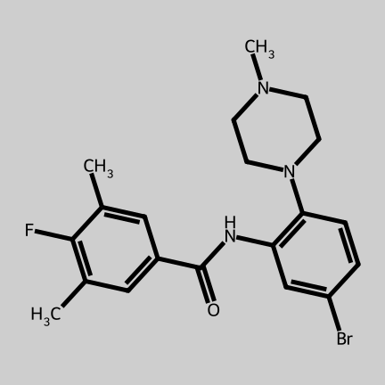 Cc1cc(C(=O)Nc2cc(Br)ccc2N2CCN(C)CC2)cc(C)c1F